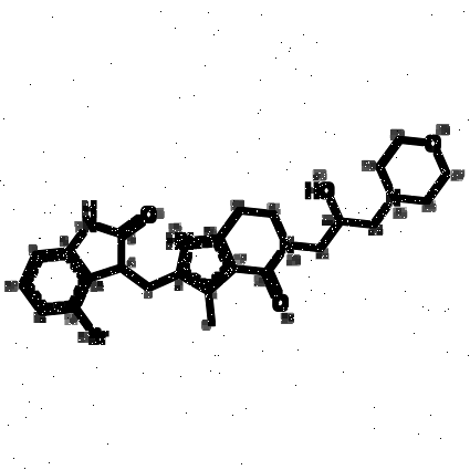 Cc1c(CC2C(=O)Nc3cccc(Br)c32)[nH]c2c1C(=O)N(CC(O)CN1CCOCC1)CC2